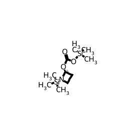 C[Si](C)(C)OC(=O)O[C@H]1CCN1[Si](C)(C)C